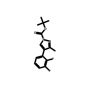 Cc1nn(C(=O)OC(C)(C)C)cc1-c1cccc(F)c1F